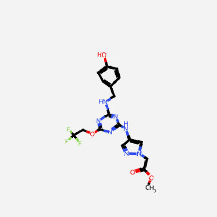 COC(=O)Cn1cc(Nc2nc(NCc3ccc(O)cc3)nc(OCC(F)(F)F)n2)cn1